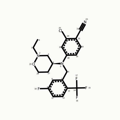 CCN1C[C@@H](N(Cc2cc(F)ccc2C(F)(F)F)c2ccc(C#N)c(Cl)c2)CCO1